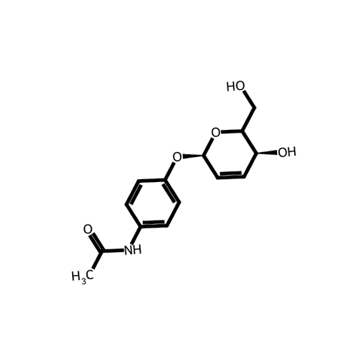 CC(=O)Nc1ccc(O[C@@H]2C=C[C@H](O)C(CO)O2)cc1